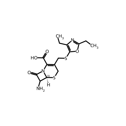 CCc1nc(CC)c(SCC2=C(C(=O)O)N3C(=O)C(N)[C@@H]3SC2)o1